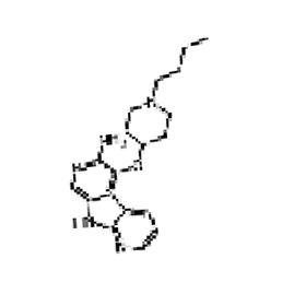 CCCCN1CCC(Oc2c(N)ncc3[nH]c4ncccc4c23)CC1